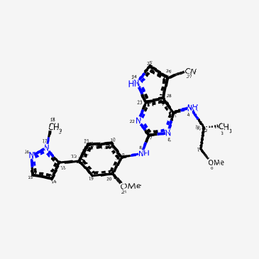 COC[C@@H](C)Nc1nc(Nc2ccc(-c3ccnn3C)cc2OC)nc2[nH]cc(C#N)c12